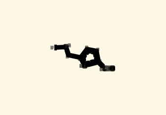 O=Cc1ccc(COI)o1